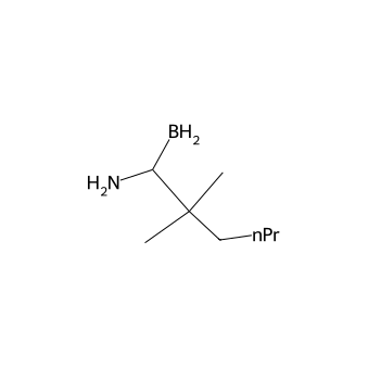 BC(N)C(C)(C)CCCC